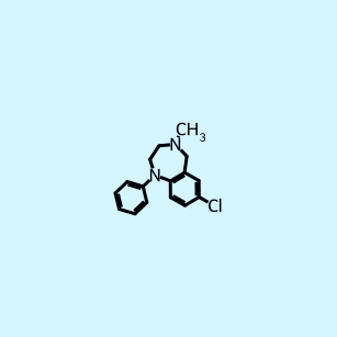 CN1CCN(c2ccccc2)c2ccc(Cl)cc2C1